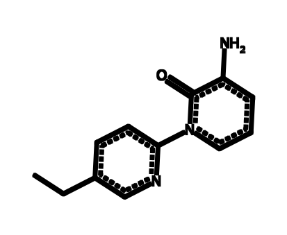 CCc1ccc(-n2cccc(N)c2=O)nc1